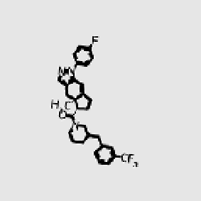 C[C@]12Cc3cnn(-c4ccc(F)cc4)c3C=C1CC[C@@H]2C(=O)N1CCCC(Cc2cccc(C(F)(F)F)c2)C1